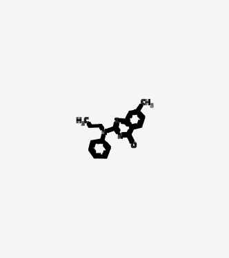 CCCN(c1ccccc1)c1nc(=O)c2ccc(C)cc2s1